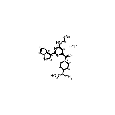 CN(C(=O)O)C1CCN(C(=O)c2cc(NCC(C)(C)C)nc(-c3cnn4ccsc34)n2)CC1.Cl